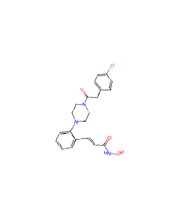 O=C(C=Cc1ccccc1N1CCN(C(=O)Cc2ccc(Cl)cc2)CC1)NO